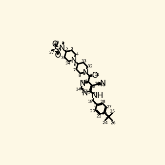 CN(C1CCN(C2CCN(C(=O)c3ncnc(NCc4ccc(C(C)(C)C)cc4)c3C#N)CC2)CC1)S(C)(=O)=O